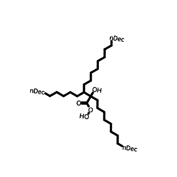 CCCCCCCCCCCCCCCCCCC(CCCCCCCCCCCCCCC)C(O)(CCCCCCCCCCCCCCCCCC)C(=O)OO